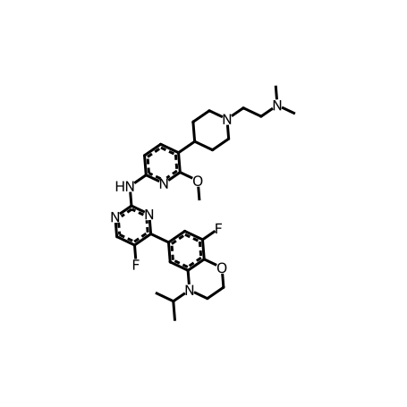 COc1nc(Nc2ncc(F)c(-c3cc(F)c4c(c3)N(C(C)C)CCO4)n2)ccc1C1CCN(CCN(C)C)CC1